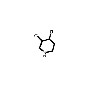 ClC1CCNCC1Cl